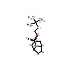 CC(C)(C)OCCCN1C2CCC1CS(=O)(=O)C2